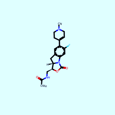 COC(=O)NC[C@@H]1OC(=O)N2c3cc(F)c(C4=CCN(C#N)CC4)cc3C[C@@H]12